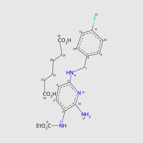 CCOC(=O)Nc1ccc(NCc2ccc(F)cc2)nc1N.O=C(O)CCCCC(=O)O